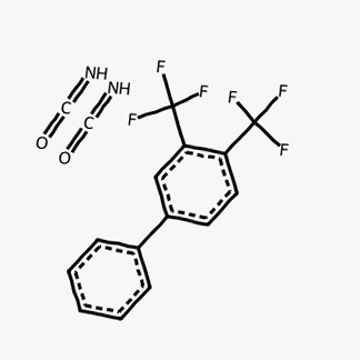 FC(F)(F)c1ccc(-c2ccccc2)cc1C(F)(F)F.N=C=O.N=C=O